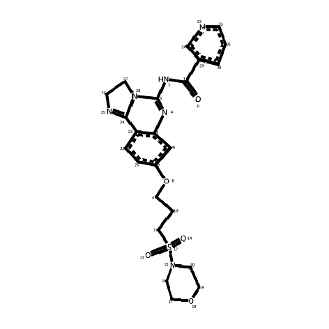 O=C(NC1=Nc2cc(OCCCS(=O)(=O)N3CCOCC3)ccc2C2=NCCN12)c1cccnc1